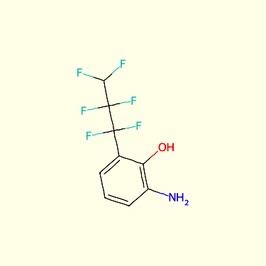 Nc1cccc(C(F)(F)C(F)(F)C(F)F)c1O